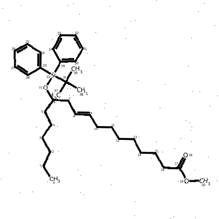 CCCCCCC(CC=CCCCCCCCC(=O)OC)O[Si](c1ccccc1)(c1ccccc1)C(C)(C)C